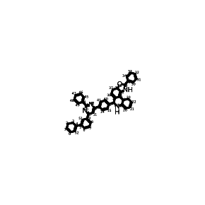 C1=CCCC(c2cccc(-c3cc(-c4ccc(C5NC6=CC=CCC6C6=C7NC(c8ccccc8)OC7CC=C65)cc4)nc(-c4ccccc4)n3)c2)=C1